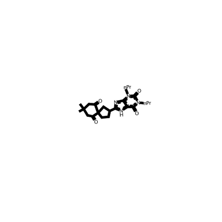 CCCn1c(=O)c2[nH]c(C3CCC4(C3)C(=O)CC(C)(C)CC4=O)nc2n(CCC)c1=O